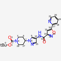 CC(C)(C)OC(=O)N1CCC(n2cc(NC(=O)c3cc(-c4ccccn4)on3)cn2)CC1